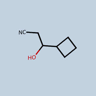 N#CCC(O)C1CCC1